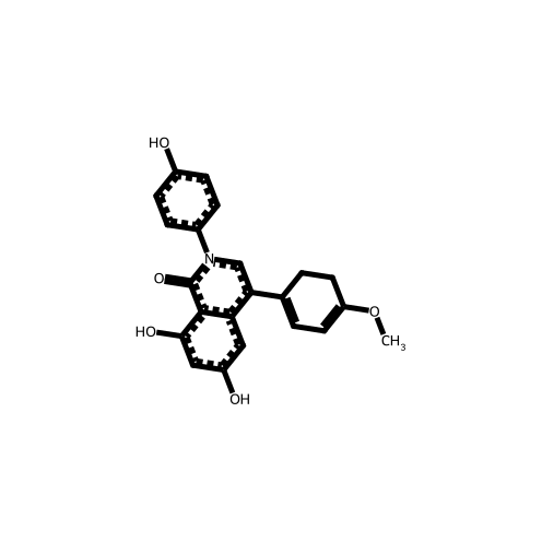 COC1=CC=C(c2cn(-c3ccc(O)cc3)c(=O)c3c(O)cc(O)cc23)CC1